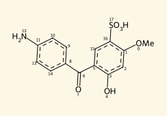 COc1cc(O)c(C(=O)c2ccc(N)cc2)cc1S(=O)(=O)O